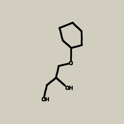 OCC(O)COC1CCCCC1